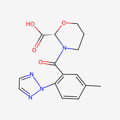 Cc1ccc(-n2nccn2)c(C(=O)N2CCCO[C@H]2C(=O)O)c1